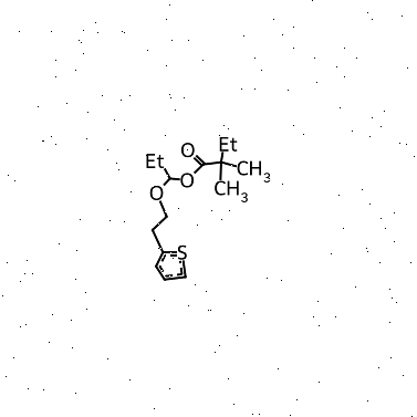 CCC(OCCc1cccs1)OC(=O)C(C)(C)CC